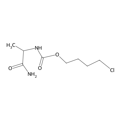 CC(NC(=O)OCCCCCl)C(N)=O